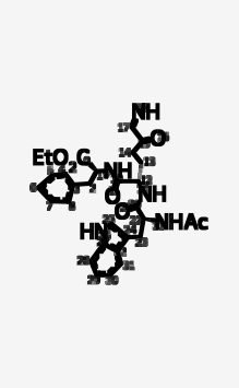 CCOC(=O)[C@H](Cc1ccccc1)NC(=O)[C@H](CCC(=O)C=N)NC(=O)[C@H](Cc1c[nH]c2ccccc12)NC(C)=O